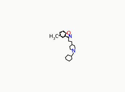 Cc1ccc2onc(CCC3CCN(CC4CCCCC4)CC3)c2c1